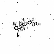 Cc1[nH]c2c(-c3cc(C(F)(F)F)ccc3OCC3CC3)ncnc2c1C(=O)N[C@@H]1CC[C@@H](NC(=O)CO)[C@H](F)C1